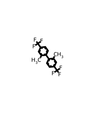 Cc1cc(C(F)(F)F)ccc1-c1ccc(C(F)(F)F)cc1C